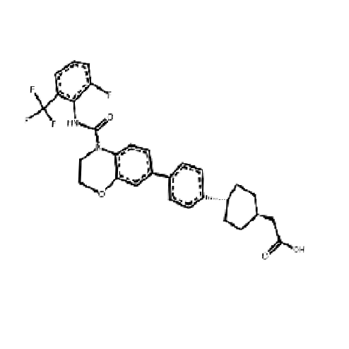 O=C(O)C[C@H]1CC[C@H](c2ccc(-c3ccc4c(c3)OCCN4C(=O)Nc3c(F)cccc3C(F)(F)F)cc2)CC1